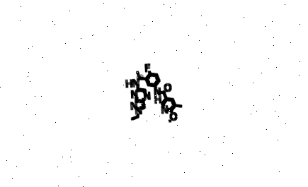 CCn1cc2ncc(N[C@@H](C)c3cc(NC(=O)c4cnc(OC)c(C)c4)ccc3F)nc2n1